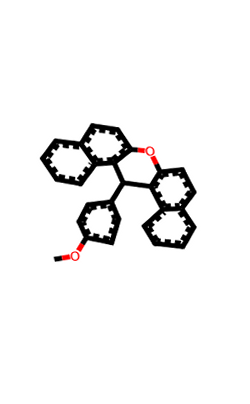 COc1ccc(C2c3c(ccc4ccccc34)Oc3ccc4ccccc4c32)cc1